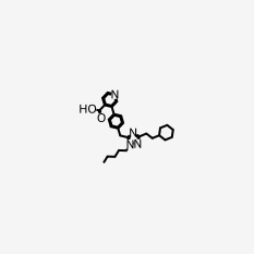 CCCCCn1nc(CCC2CCCCC2)nc1Cc1ccc(-c2cnccc2C(=O)O)cc1